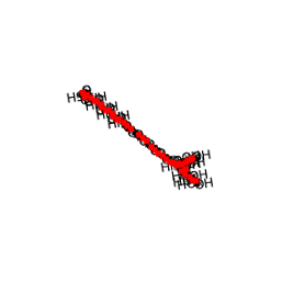 O=C(CCC[C@H](NC(=O)CCOCCOCCOCCOCCOCCOCCOCCOCCNC(=O)CNC(=O)CNC(=O)CNC(=O)CNC(=O)CNC(=O)CN1C(=O)CC(S)C1=O)C(=O)NC[C@H](O)[C@@H](O)[C@H](O)CCO)NC[C@H](O)[C@@H](O)[C@H](O)CCO